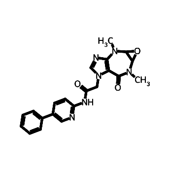 CN1C(=O)c2c(ncn2CC(=O)Nc2ccc(-c3ccccc3)cn2)N(C)C2OC21